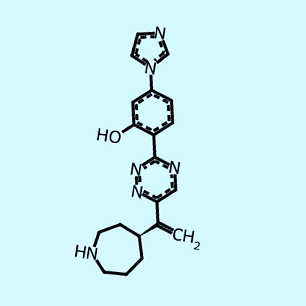 C=C(c1cnc(-c2ccc(-n3ccnc3)cc2O)nn1)[C@H]1CCCNCC1